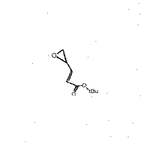 CC(C)(C)OC(=O)C=CC1CO1